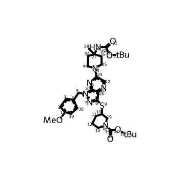 COc1ccc(Cn2nc(SC3CCCN(C(=O)OC(C)(C)C)C3)c3ncc(N4CCC(C)(NC(=O)OC(C)(C)C)CC4)nc32)cc1